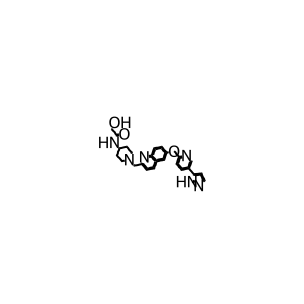 O=C(CO)NC1CCN(Cc2ccc3cc(Oc4ccc(-c5ccn[nH]5)cn4)ccc3n2)CC1